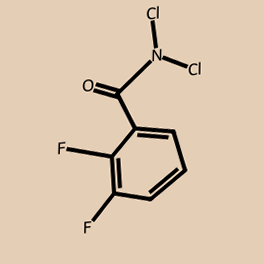 O=C(c1cccc(F)c1F)N(Cl)Cl